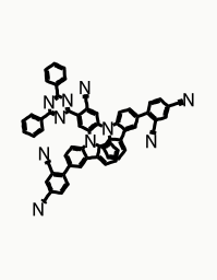 N#Cc1ccc(-c2ccc3c(c2)c2ccccc2n3-c2cc(C#N)c(-c3nc(-c4ccccc4)nc(-c4ccccc4)n3)cc2-n2c3ccccc3c3cc(-c4ccc(C#N)cc4C#N)ccc32)c(C#N)c1